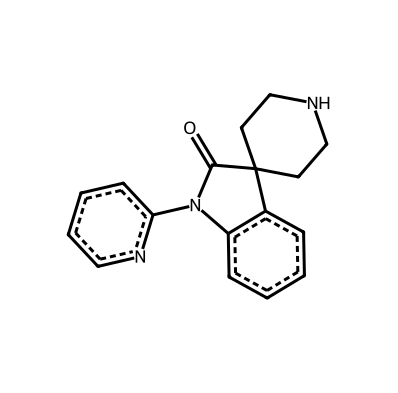 O=C1N(c2ccccn2)c2ccccc2C12CCNCC2